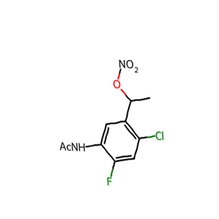 CC(=O)Nc1cc(C(C)O[N+](=O)[O-])c(Cl)cc1F